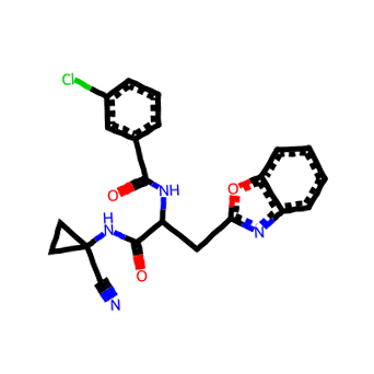 N#CC1(NC(=O)C(Cc2nc3ccccc3o2)NC(=O)c2cccc(Cl)c2)CC1